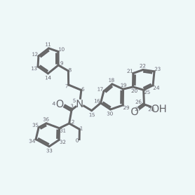 CCC(C(=O)N(CCCc1ccccc1)Cc1ccc(-c2ccccc2C(=O)O)cc1)c1ccccc1